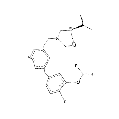 CC(C)[C@@H]1CN(Cc2cncc(-c3ccc(F)c(OC(F)F)c3)c2)CO1